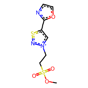 COS(=O)(=O)CC[n+]1cc(-c2ncco2)sn1